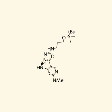 CNc1cc(NC(C)C)c(-c2nnc(NCCCO[Si](C)(C)C(C)(C)C)o2)cn1